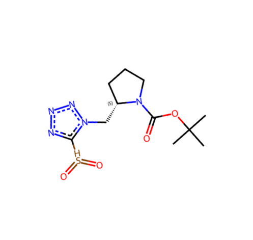 CC(C)(C)OC(=O)N1CCC[C@H]1Cn1nnnc1[SH](=O)=O